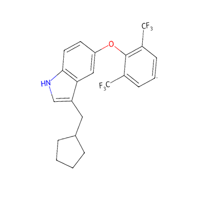 FC(F)(F)c1c[c]cc(C(F)(F)F)c1Oc1ccc2[nH]cc(CC3CCCC3)c2c1